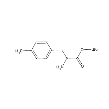 Cc1ccc(CN(N)C(=O)OC(C)(C)C)cc1